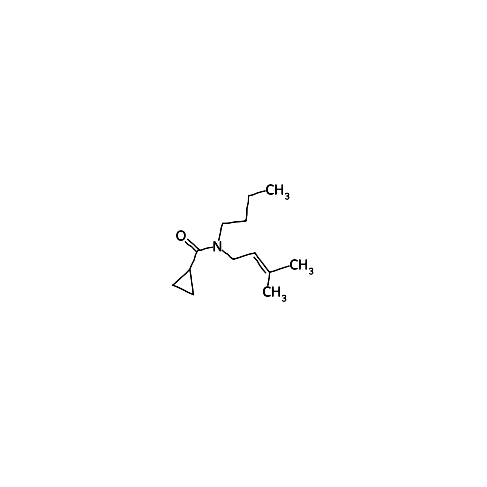 CCCCN(CC=C(C)C)C(=O)C1CC1